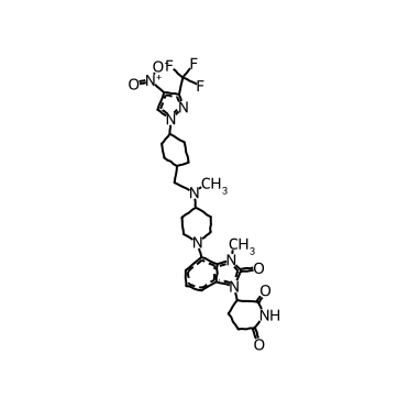 CN(CC1CCC(n2cc([N+](=O)[O-])c(C(F)(F)F)n2)CC1)C1CCN(c2cccc3c2n(C)c(=O)n3C2CCC(=O)NC2=O)CC1